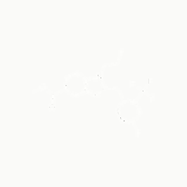 COC(=O)c1ccc2c(c1)cc(Cc1ccc(F)cc1C(F)(F)F)n2CCF